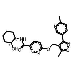 Cc1ccc(-c2noc(C)c2COc2ccc(C(=O)N[C@H]3CCCC[C@@H]3O)nn2)cn1